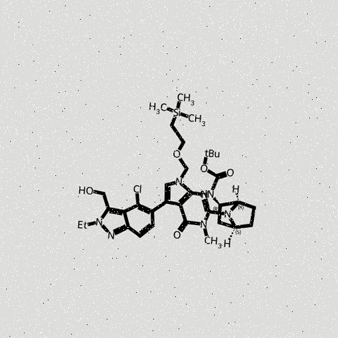 CCn1nc2ccc(-c3cn(COCC[Si](C)(C)C)c4nc(N5[C@H]6CC[C@@H]5[C@H](NC(=O)OC(C)(C)C)C6)n(C)c(=O)c34)c(Cl)c2c1CO